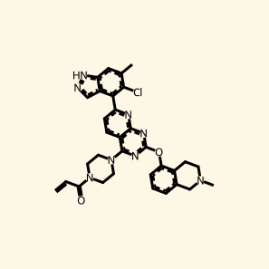 C=CC(=O)N1CCN(c2nc(Oc3cccc4c3CCN(C)C4)nc3nc(-c4c(Cl)c(C)cc5[nH]ncc45)ccc23)CC1